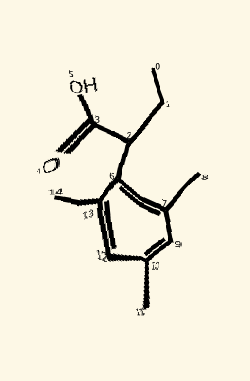 CCC(C(=O)O)c1c(C)cc(C)cc1C